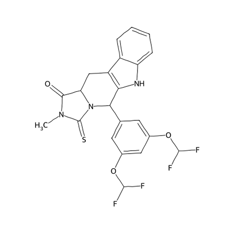 CN1C(=O)C2Cc3c([nH]c4ccccc34)C(c3cc(OC(F)F)cc(OC(F)F)c3)N2C1=S